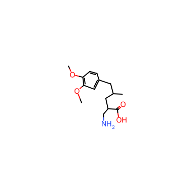 COc1ccc(CC(C)CC(CN)C(=O)O)cc1OC